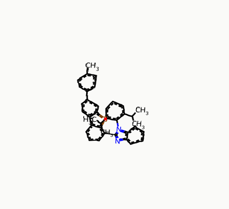 Cc1ccc(-c2ccc3c(c2)sc2c(-c4nc5ccccc5n4-c4c(C(C)C)cccc4C(C)C)cccc23)cc1